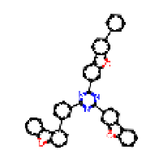 c1ccc(-c2ccc3c(c2)oc2cc(-c4nc(-c5cccc(-c6cccc7oc8ccccc8c67)c5)nc(-c5ccc6c(c5)oc5ccccc56)n4)ccc23)cc1